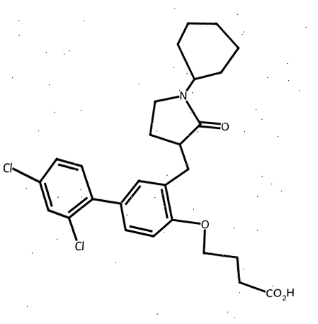 O=C(O)CCCOc1ccc(-c2ccc(Cl)cc2Cl)cc1CC1CCN(C2CCCCC2)C1=O